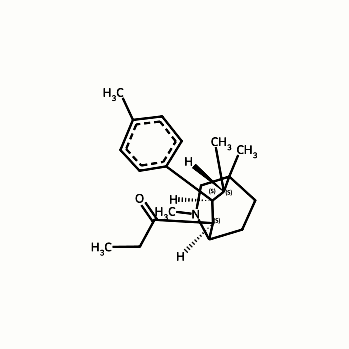 CCC(=O)[C@@H]1C2CCC(C)(CN2C)[C@@H](C)[C@@H]1c1ccc(C)cc1